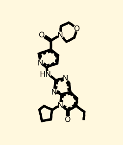 CCc1cc2cnc(Nc3ccc(C(=O)N4CCOCC4)cn3)nc2n(C2CCCC2)c1=O